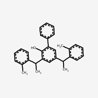 Cc1ccccc1C(C)c1cc(-c2ccccc2)c(O)c(C(C)c2ccccc2C)c1